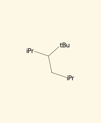 CC(C)CC(C(C)C)C(C)(C)C